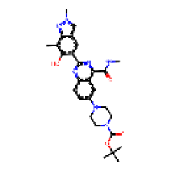 CNC(=O)c1nc(-c2cc3cn(C)nc3c(C)c2O)nc2ccc(N3CCN(C(=O)OC(C)(C)C)CC3)cc12